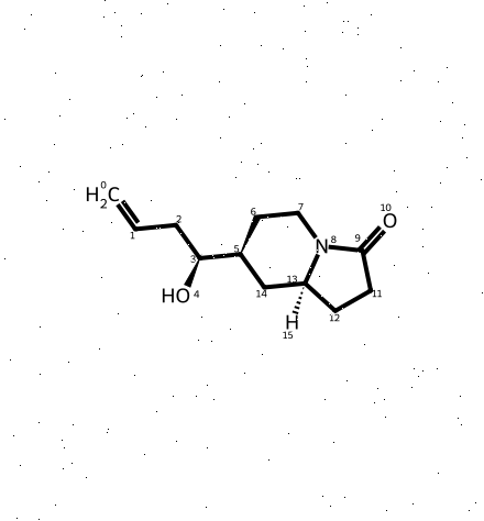 C=CC[C@H](O)[C@H]1CCN2C(=O)CC[C@H]2C1